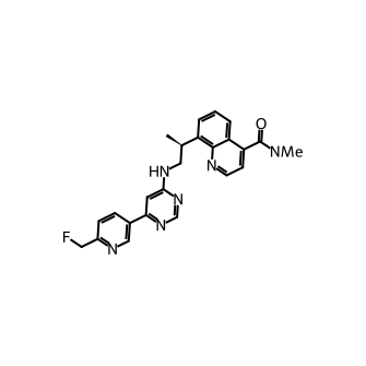 CNC(=O)c1ccnc2c([C@H](C)CNc3cc(-c4ccc(CF)nc4)ncn3)cccc12